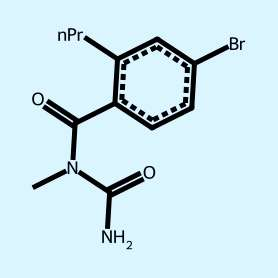 CCCc1cc(Br)ccc1C(=O)N(C)C(N)=O